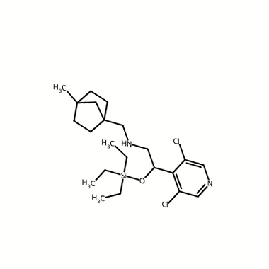 CC[Si](CC)(CC)OC(CNCC12CCC(C)(CC1)C2)c1c(Cl)cncc1Cl